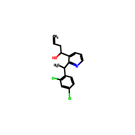 C=CCC(O)c1cccnc1C(C)c1ccc(Cl)cc1Cl